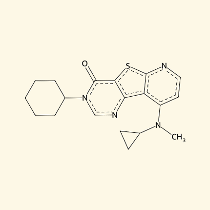 CN(c1ccnc2sc3c(=O)n(C4CCCCC4)cnc3c12)C1CC1